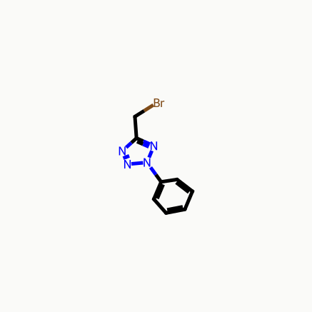 BrCc1nnn(-c2ccccc2)n1